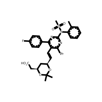 Cc1ccccc1N(c1nc(-c2ccc(F)cc2)c(/C=C/[C@@H]2C[C@H](CC(=O)O)OC(C)(C)O2)c(C(C)C)n1)S(C)(=O)=O